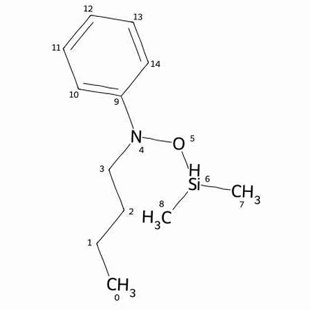 CCCCN(O[SiH](C)C)c1ccccc1